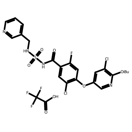 CC(C)COc1ncc(Oc2cc(F)c(C(=O)NS(=O)(=O)NCc3cccnc3)cc2Cl)cc1Cl.O=C(O)C(F)(F)F